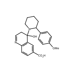 COc1ccc(C2CCCCN2C2(O)CC=Nc3ccc(C(=O)O)cc32)cc1